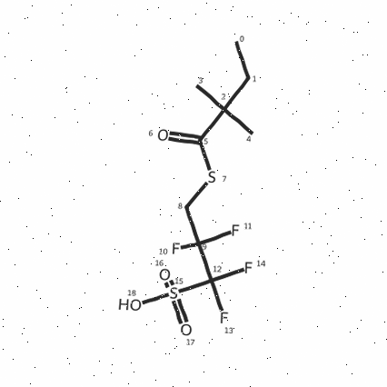 CCC(C)(C)C(=O)SCC(F)(F)C(F)(F)S(=O)(=O)O